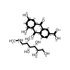 CNC[C@H](O)[C@@H](O)[C@H](O)[C@H](O)CO.O=C(O)c1ccc2c(c1)C(=O)c1cc(O)cc(O)c1C2=O